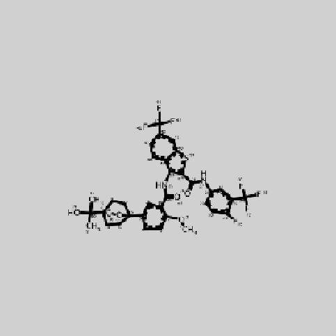 COc1ccc(C23CCC(C(C)(C)O)(CC2)CC3)cc1C(=O)Nc1c(C(=O)Nc2ccc(F)c(C(F)(F)F)c2)sc2cc(C(F)(F)F)ccc12